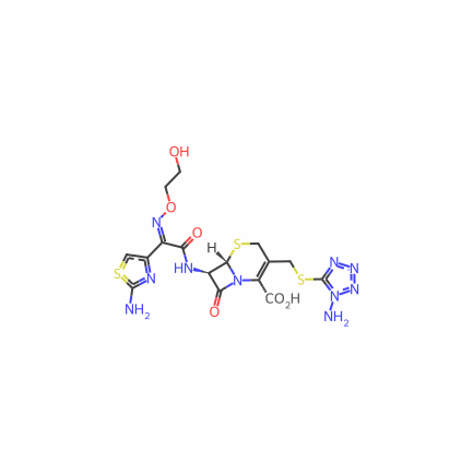 Nc1nc(/C(=N/OCCO)C(=O)N[C@@H]2C(=O)N3C(C(=O)O)=C(CSc4nnnn4N)CS[C@@H]23)cs1